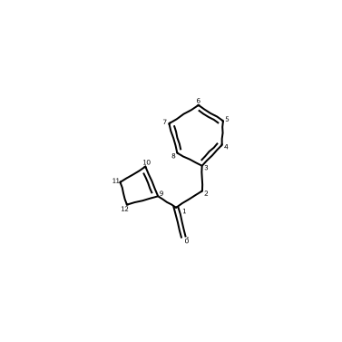 [CH]=C(Cc1ccccc1)C1=CCC1